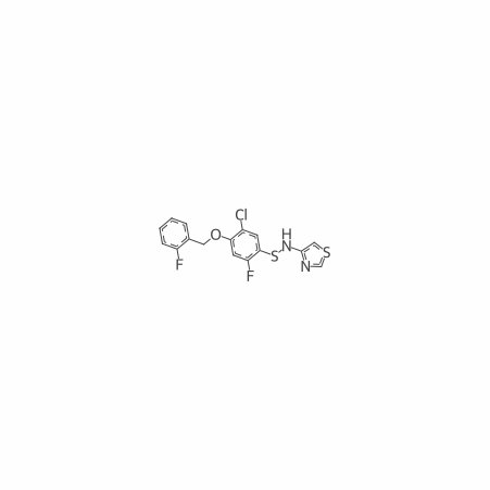 Fc1ccccc1COc1cc(F)c(SNc2cscn2)cc1Cl